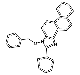 c1ccc(COn2c(-c3ccccc3)nc3c4ccc5ccccc5c4ccc32)cc1